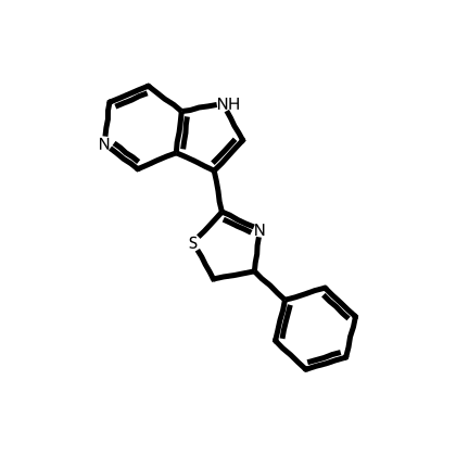 c1ccc(C2CSC(c3c[nH]c4ccncc34)=N2)cc1